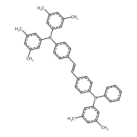 Cc1cc(C)cc(N(c2ccccc2)c2ccc(/C=C/c3ccc(N(c4cc(C)cc(C)c4)c4cc(C)cc(C)c4)cc3)cc2)c1